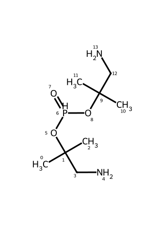 CC(C)(CN)O[PH](=O)OC(C)(C)CN